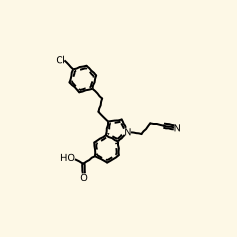 N#CCCn1cc(CCc2ccc(Cl)cc2)c2cc(C(=O)O)ccc21